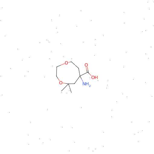 CC1(C)CC(N)(C(=O)O)CCOCCO1